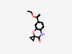 C=C(OCC)c1ccc2c(c1)OC1(CC1)C(=O)N2